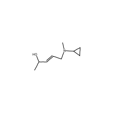 CC(O)/C=C/CN(C)C1CC1